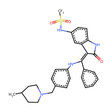 CC1CCN(Cc2ccc(NC(=C3C(=O)Nc4ccc(NS(=O)(=O)C(F)(F)F)cc43)c3ccccc3)cc2)CC1